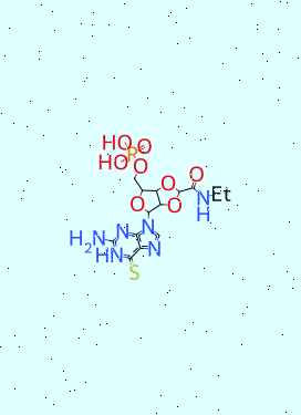 CCNC(=O)C1OC2C(COP(=O)(O)O)OC(n3cnc4c(=S)[nH]c(N)nc43)C2O1